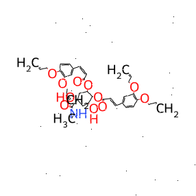 C=CCOc1ccc(/C=C\C(=O)O[C@@H]2C[C@](O)(C(=O)NC)C[C@@H](O)[C@H]2OC(=O)/C=C/c2ccc(OCC=C)c(OCC=C)c2)cc1OCC=C